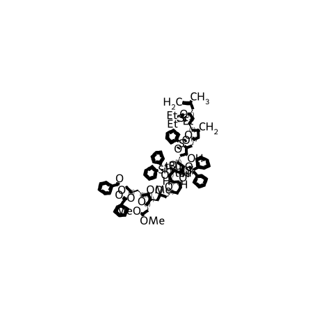 C=C=C(C)C[C@H](CC[C@@H]1O[C@@H](CC(C(O)C[C@H]2O[C@H]3[C@@H](O[Si](c4ccccc4)(c4ccccc4)C(C)(C)C)[C@H]4O[C@@H](CC(=O)C[C@@H]5[C@@H](OC)[C@@H](C[C@H](COC(=O)c6ccccc6)OC(=O)c6ccccc6)O[C@H]5CC(OC)OC)CC[C@@H]4O[C@H]3[C@H]2O[Si](c2ccccc2)(c2ccccc2)C(C)(C)C)S(=O)(=O)c2ccccc2)CC1=C)O[Si](CC)(CC)CC